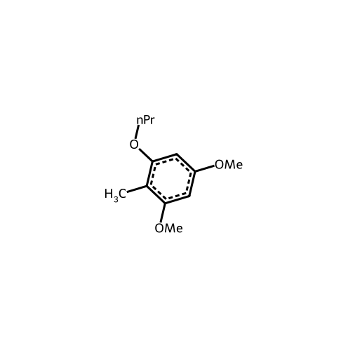 CCCOc1cc(OC)cc(OC)c1C